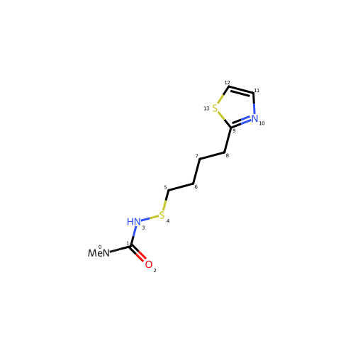 CNC(=O)NSCCCCc1nccs1